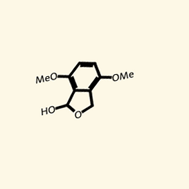 COc1ccc(OC)c2c1COC2O